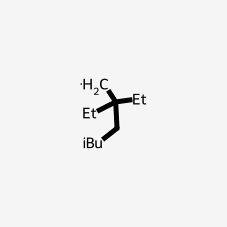 [CH2]C(CC)(CC)CC(C)CC